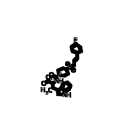 CC(c1c[nH]c2ccccc12)C(NC(=O)N1CCC(S(=O)(=O)CC=Cc2ccc(F)cc2)CC1)C(=O)O